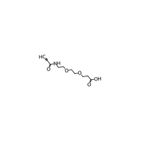 C#CC(=O)NCCOCCOCCC(=O)O